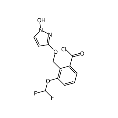 O=C(Cl)c1cccc(OC(F)F)c1COc1ccn(O)n1